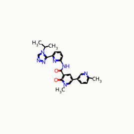 Cc1ccc(-c2cc(C(=O)Nc3cccc(-c4nncn4C(C)C)n3)c(=O)n(C)c2)cn1